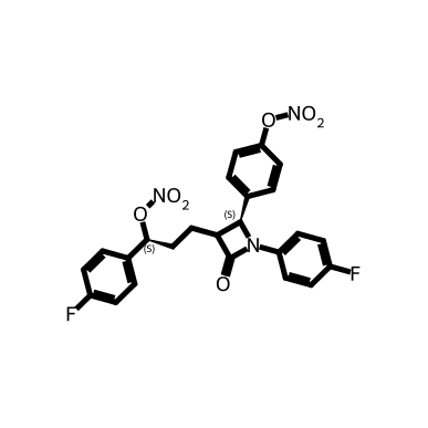 O=C1C(CC[C@H](O[N+](=O)[O-])c2ccc(F)cc2)[C@@H](c2ccc(O[N+](=O)[O-])cc2)N1c1ccc(F)cc1